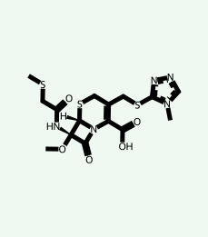 CO[C@@]1(NC(=O)CSC)C(=O)N2C(C(=O)O)=C(CSc3nncn3C)CS[C@H]21